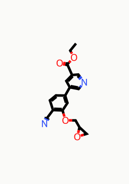 CCOC(=O)c1cncc(-c2ccc(C#N)c(OCC3CO3)c2)c1